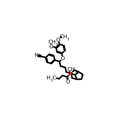 CCCC(=O)N(C)C1C2CCC1CN(CCCC(Oc1ccc(OC)c(OC)c1)c1ccc(C#N)cc1)C2